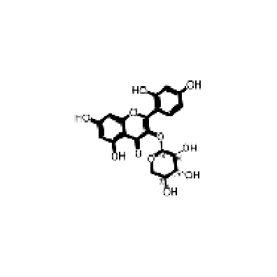 O=c1c(O[C@@H]2OC[C@H](O)[C@@H](O)[C@H]2O)c(-c2ccc(O)cc2O)oc2cc(O)cc(O)c12